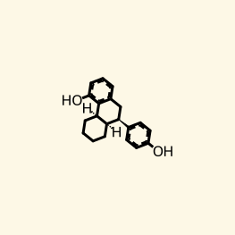 Oc1ccc([C@@H]2Cc3cccc(O)c3[C@@H]3CCCC[C@H]23)cc1